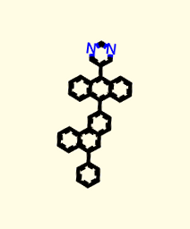 c1ccc(-c2cc3ccc(-c4c5ccccc5c(-c5cncnc5)c5ccccc45)cc3c3ccccc23)cc1